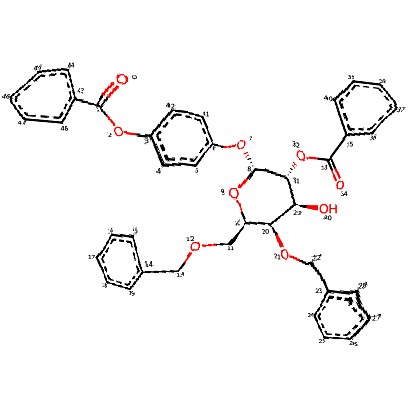 O=C(Oc1ccc(O[C@H]2O[C@H](COCc3ccccc3)[C@H](OCc3ccccc3)[C@H](O)[C@H]2OC(=O)c2ccccc2)cc1)c1ccccc1